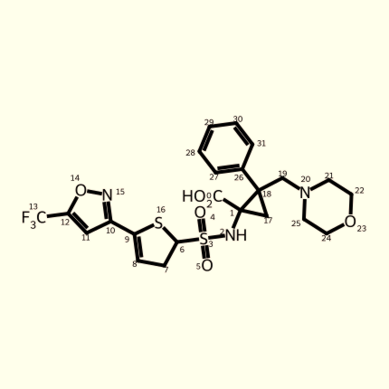 O=C(O)C1(NS(=O)(=O)C2CC=C(c3cc(C(F)(F)F)on3)S2)CC1(CN1CCOCC1)c1ccccc1